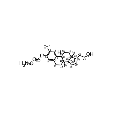 CCc1cc2c(cc1OSOON)CC[C@@H]1[C@@H]2CC[C@]2(C)[C@@H](CCO)CC[C@@H]12